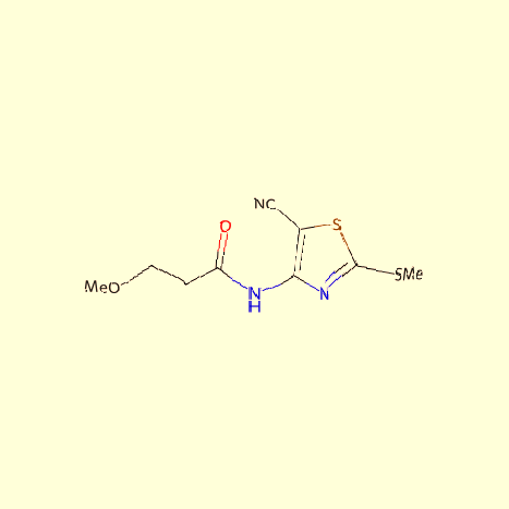 COCCC(=O)Nc1nc(SC)sc1C#N